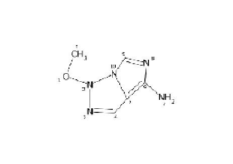 COn1ncc2c(N)ncn21